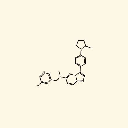 CN(Cc1cncc(F)c1)c1ccc2ncc(-c3ccc(N4CCCC4I)cc3)n2n1